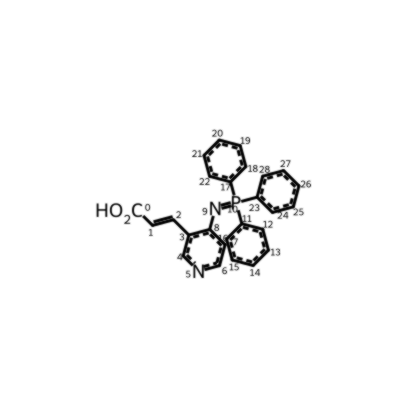 O=C(O)/C=C/c1cnccc1N=P(c1ccccc1)(c1ccccc1)c1ccccc1